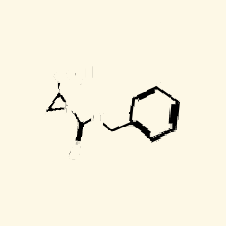 O=C(O)[C@@H]1CN1C(=O)OCc1ccccc1